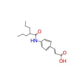 CCCC(CCC)C(=O)Nc1ccc(/C=C/C(=O)O)cc1